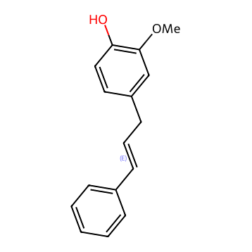 COc1cc(C/C=C/c2ccccc2)ccc1O